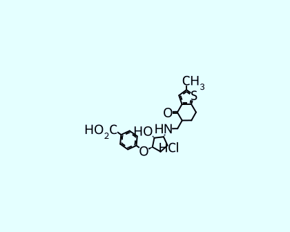 Cc1cc2c(s1)CCC(CN[C@@H]1CC[C@@H](Oc3ccc(C(=O)O)cc3)[C@@H]1O)C2=O.Cl